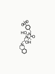 CC1(C)C(=O)N(Cc2ccc(S(C)(=O)=O)cc2)C(O)N1CC(O)CN1CCc2ccccc2C1